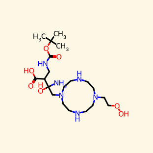 CC(C)(C)OC(=O)NCC(C(=O)O)C(N)(O)CN1CCNCCN(CCOO)CCNCC1